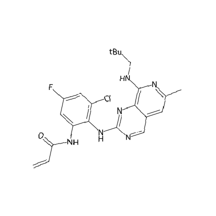 C=CC(=O)Nc1cc(F)cc(Cl)c1Nc1ncc2cc(C)nc(NCC(C)(C)C)c2n1